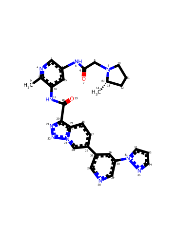 Cc1ncc(NC(=O)CN2CCC[C@@H]2C)cc1NC(=O)c1nnn2cc(-c3cncc(-n4cccn4)c3)ccc12